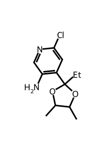 CCC1(c2cc(Cl)ncc2N)OC(C)C(C)O1